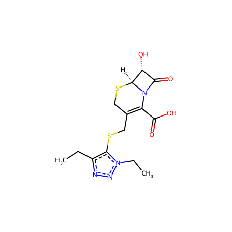 CCc1nnn(CC)c1SCC1=C(C(=O)O)N2C(=O)[C@@H](O)[C@@H]2SC1